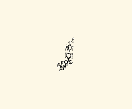 CCCc1ccc(-c2ccc(C(=O)OCC(F)(F)C(F)F)cc2)nc1